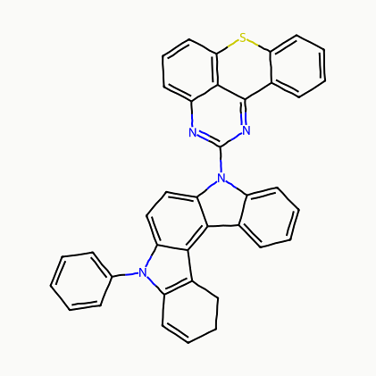 C1=Cc2c(c3c4c5ccccc5n(-c5nc6c7c(cccc7n5)Sc5ccccc5-6)c4ccc3n2-c2ccccc2)CC1